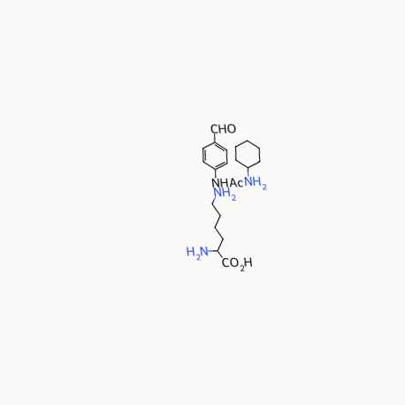 CC(=O)Nc1ccc(C=O)cc1.NC1CCCCC1.NCCCCC(N)C(=O)O